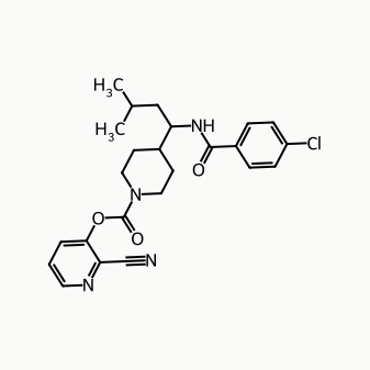 CC(C)CC(NC(=O)c1ccc(Cl)cc1)C1CCN(C(=O)Oc2cccnc2C#N)CC1